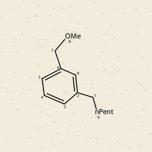 CCCCCCc1cccc(COC)c1